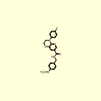 CSc1ccc(CNC(=O)c2cnc3c(c2)OCCN3c2ccc(F)cc2)cc1